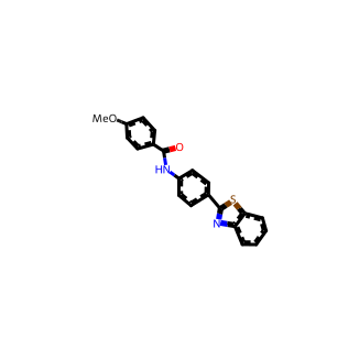 COc1ccc(C(=O)Nc2ccc(-c3nc4ccccc4s3)cc2)cc1